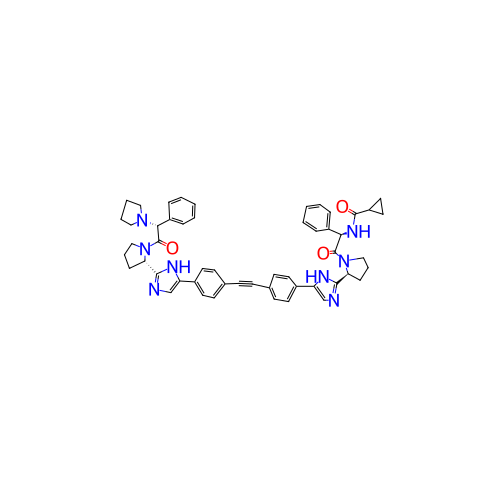 O=C(N[C@@H](C(=O)N1CCC[C@H]1c1ncc(-c2ccc(C#Cc3ccc(-c4cnc([C@@H]5CCCN5C(=O)[C@@H](c5ccccc5)N5CCCC5)[nH]4)cc3)cc2)[nH]1)c1ccccc1)C1CC1